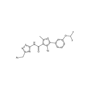 [2H]c1c(-c2cccc(OC(F)F)c2)oc(C)c1C(=O)Nc1nc(CC(C)=O)ns1